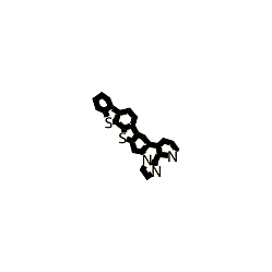 c1ccc2c(c1)sc1c2ccc2c3cc4c5cccnc5c5nccn5c4cc3sc21